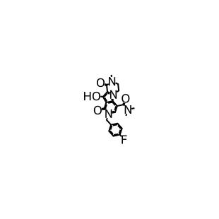 CN(C)C(=O)c1cn(Cc2ccc(F)cc2)c(=O)c2c(O)c3n(c12)CCN(C)C3=O